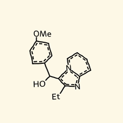 CCc1nc2ccccn2c1C(O)c1ccc(OC)cc1